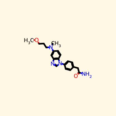 COCCCN(C)c1ccc2c(c1)ncn2-c1ccc(CC(N)=O)cc1